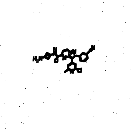 Cc1cc(-c2c(-c3cccc(C#N)c3)nn3ccc(C(=O)NC45CC(N)(C4)C5)nc23)cc(Cl)n1